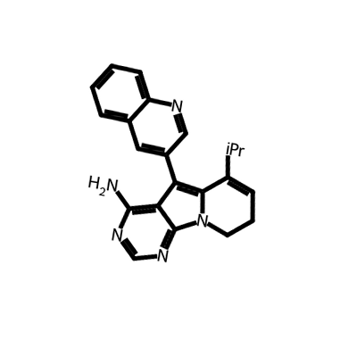 CC(C)C1=CCCn2c1c(-c1cnc3ccccc3c1)c1c(N)ncnc12